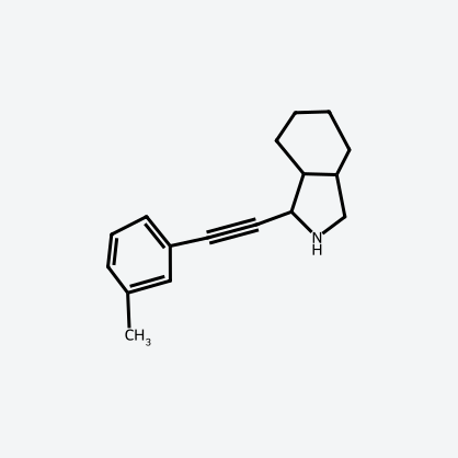 Cc1cccc(C#CC2NCC3CCCCC32)c1